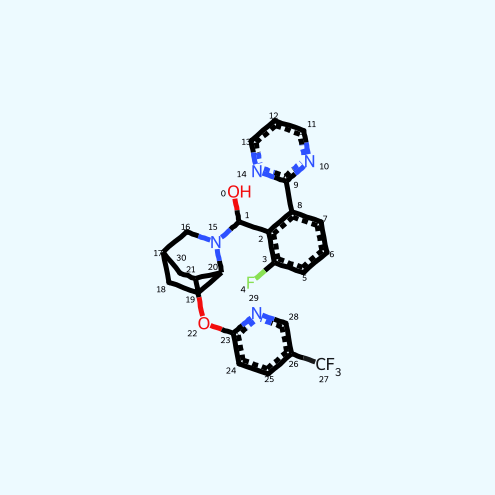 OC(c1c(F)cccc1-c1ncccn1)N1CC2CCC1C(Oc1ccc(C(F)(F)F)cn1)C2